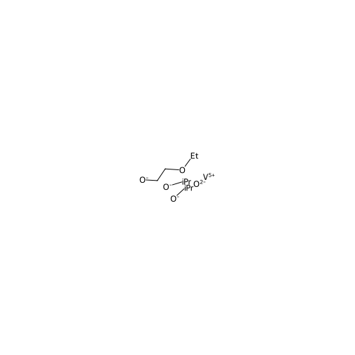 CC(C)[O-].CC(C)[O-].CCOCC[O-].[O-2].[V+5]